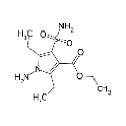 CCOC(=O)c1c(S(N)(=O)=O)c(CC)n(N)c1CC